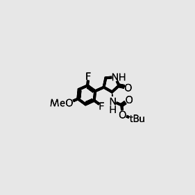 COc1cc(F)c(C2CNC(=O)[C@@H]2NC(=O)OC(C)(C)C)c(F)c1